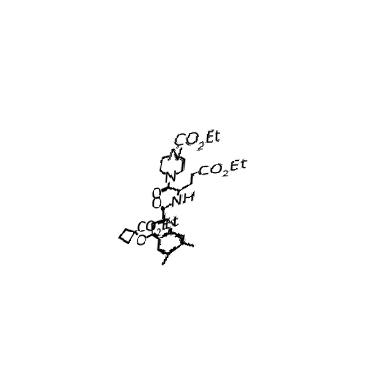 CCOC(=O)CCC(NC(=O)c1cc(OC2(C(=O)OCC)CCC2)c2cc(C)c(C)cc2n1)C(=O)N1CCN(C(=O)OCC)CC1